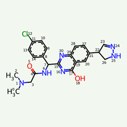 CN(C)CC(=O)NC(c1ccc(Cl)cc1)c1nc(O)c2cc(C3C=NNC3)ccc2n1